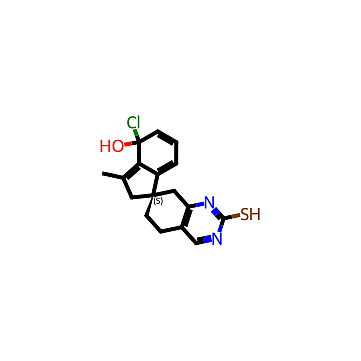 CC1=C2C(=CC=CC2(O)Cl)[C@@]2(CCc3cnc(S)nc3C2)C1